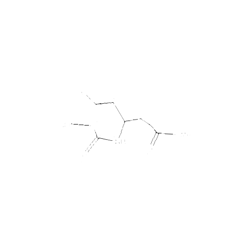 COC(=O)CC(CCO)NC(=O)OC(C)(C)C